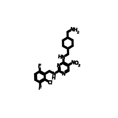 NCC1CCC(CNc2nc(NCc3c(F)ccc(F)c3Cl)ncc2[N+](=O)[O-])CC1